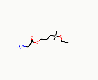 CCO[Si](C)(C)CCCOC(=O)CN